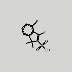 CC1(C)C(S(=O)(=O)O)=C(F)c2c(F)cccc21